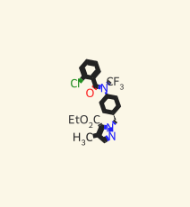 CCOC(=O)c1c(C)cnn1C[C@H]1CC[C@H](N(C(=O)c2ccccc2Cl)C(F)(F)F)CC1